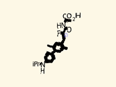 Cc1cc(-c2ccc(NC(C)C)cc2)c(C)cc1/C=C(\F)C(=O)N[C@H](C)C(=O)O